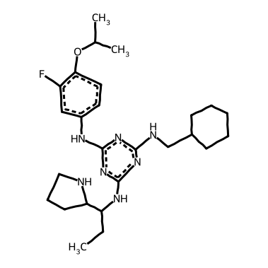 CCC(Nc1nc(NCC2CCCCC2)nc(Nc2ccc(OC(C)C)c(F)c2)n1)C1CCCN1